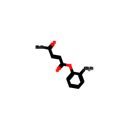 CCOC(=O)c1ccccc1OC(=O)/C=C/C(=O)OC